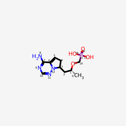 C[C@H](CC1CC=C2C(N)=NC=NN21)OCP(=O)(O)O